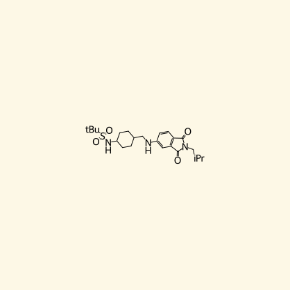 CC(C)CN1C(=O)c2ccc(NCC3CCC(NS(=O)(=O)C(C)(C)C)CC3)cc2C1=O